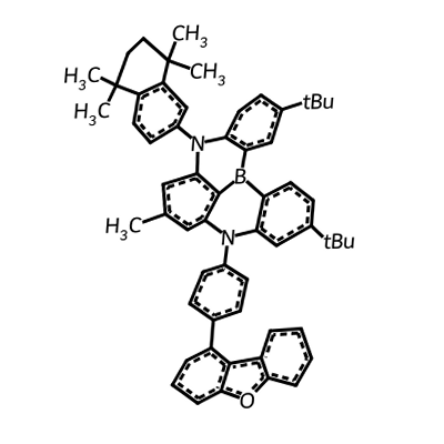 Cc1cc2c3c(c1)N(c1ccc(-c4cccc5oc6ccccc6c45)cc1)c1cc(C(C)(C)C)ccc1B3c1cc(C(C)(C)C)ccc1N2c1ccc2c(c1)C(C)(C)CCC2(C)C